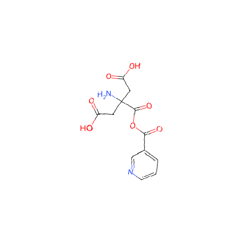 NC(CC(=O)O)(CC(=O)O)C(=O)OC(=O)c1cccnc1